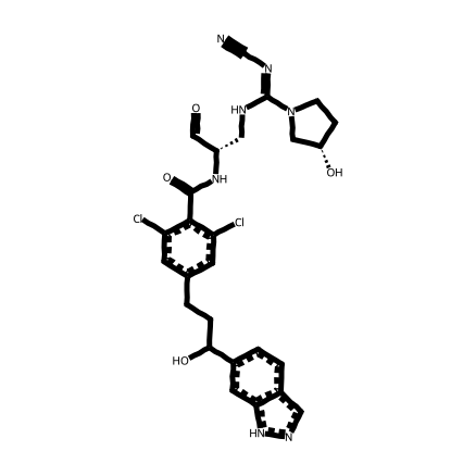 N#C/N=C(\NC[C@@H](C=O)NC(=O)c1c(Cl)cc(CCC(O)c2ccc3cn[nH]c3c2)cc1Cl)N1CC[C@H](O)C1